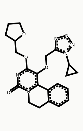 O=c1nc(OCC2CCCO2)c(OCc2nnnn2C2CC2)c2n1CCc1ccccc1-2